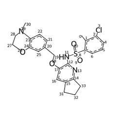 Cc1c(Cl)cccc1S(=O)(=O)Nc1nc2c(cc1OCc1ccc3c(c1)OCCN3C)CCC2